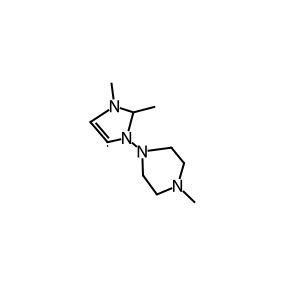 CC1N(C)C=[C]N1N1CCN(C)CC1